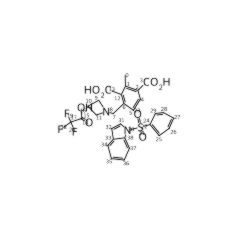 Cc1c(C(=O)O)ccc(CN2CCC2)c1C(=O)O.O=C(O)C(F)(F)F.O=S(=O)(c1ccccc1)n1ccc2ccccc21